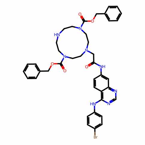 O=C(CN1CCN(C(=O)OCc2ccccc2)CCNCCN(C(=O)OCc2ccccc2)CC1)Nc1ccc2c(Nc3ccc(Br)cc3)ncnc2c1